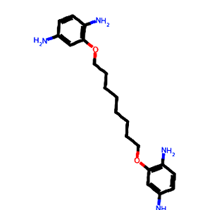 Nc1ccc(N)c(OCCCCCCCCOc2cc(N)ccc2N)c1